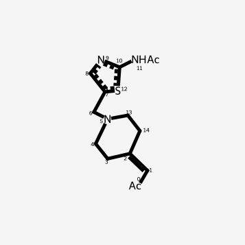 CC(=O)C=C1CCN(Cc2cnc(NC(C)=O)s2)CC1